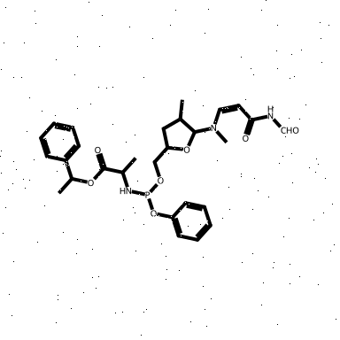 CC(NP(OCC1CC(C)C(N(C)/C=C\C(=O)NC=O)O1)Oc1ccccc1)C(=O)OC(C)c1ccccc1